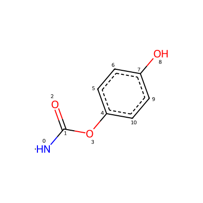 [NH]C(=O)Oc1ccc(O)cc1